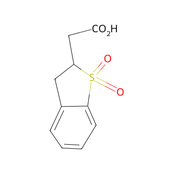 O=C(O)CC1Cc2ccccc2S1(=O)=O